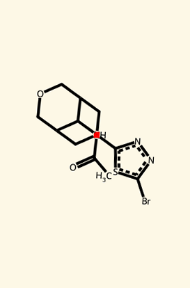 CC(=O)NC1C2COCC1CN(c1nnc(Br)s1)C2